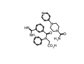 N=C(N)c1cccc(C(=O)N(CC(=O)O)c2ccccc2)c1.NC(=O)N1CCN(c2ccncc2)CC1